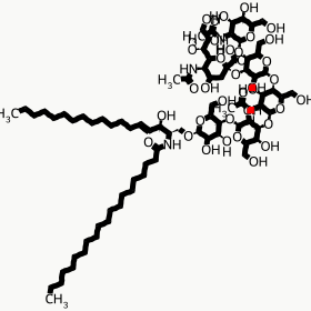 CCCCCCCCCCCCC/C=C/[C@@H](O)[C@H](CO[C@@H]1OC(CO)[C@@H](O[C@@H]2OC(CO)[C@H](O)[C@H](O[C@@H]3OC(CO)[C@@H](O[C@@H]4OC(CO)[C@H](O[C@@H]5OC(CO)[C@H](O)[C@H](O)C5NC(C)=O)[C@H](O[C@]5(C(=O)O)CC(O)[C@@H](NC(C)=O)C([C@H](O)[C@H](O)CO)O5)C4O)[C@H](O)C3NC(C)=O)C2O)[C@H](O)C1O)NC(=O)CCCCCCCCCCCCCCCCCCC